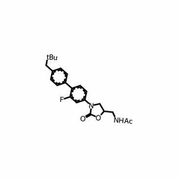 CC(=O)NCC1CN(c2ccc(-c3ccc(CC(C)(C)C)cc3)c(F)c2)C(=O)O1